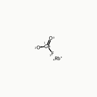 [O]=[Ge]([O-])[F].[Rb+]